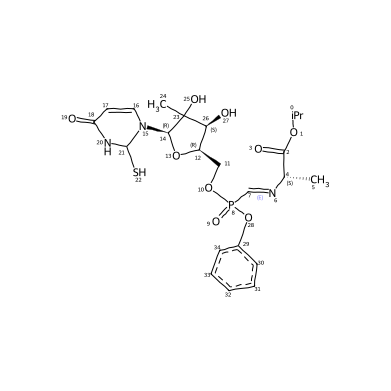 CC(C)OC(=O)[C@H](C)/N=C/P(=O)(OC[C@H]1O[C@@H](N2C=CC(=O)NC2S)C(C)(O)[C@H]1O)Oc1ccccc1